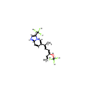 C=C/C(=C\C=C(/C)c1ccc2ncc(C(F)(F)F)n2c1)OC(F)(F)F